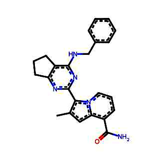 Cc1cc2c(C(N)=O)cccn2c1-c1nc2c(c(NCc3ccccc3)n1)CCC2